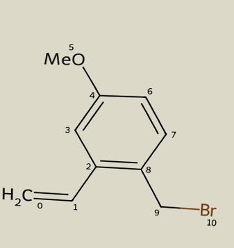 C=Cc1cc(OC)ccc1CBr